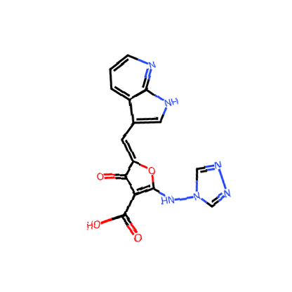 O=C(O)C1=C(Nn2cnnc2)O/C(=C\c2c[nH]c3ncccc23)C1=O